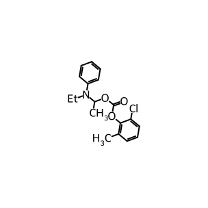 CCN(c1ccccc1)C(C)OC(=O)Oc1c(C)cccc1Cl